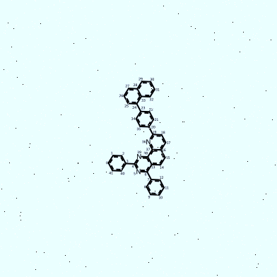 c1ccc(-c2nc(-c3ccccc3)c3ccc4ccc(-c5ccc(-c6cccc7ccccc67)cc5)nc4c3n2)cc1